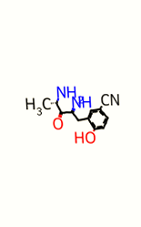 C[C@H](N)C(=O)C(=N)Cc1cc(C#N)ccc1O